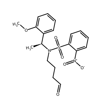 COc1ccccc1[C@H](C)N(CCCC=O)S(=O)(=O)c1ccccc1[N+](=O)[O-]